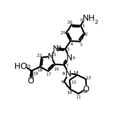 Nc1ccc(-c2nc(N3CC4COCC3C4)c3cc(C(=O)O)cn3n2)cc1